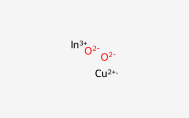 [Cu+2].[In+3].[O-2].[O-2]